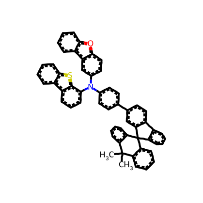 CC1(C)c2ccccc2C2(c3ccccc3-c3ccc(-c4ccc(N(c5ccc6oc7ccccc7c6c5)c5cccc6c5sc5ccccc56)cc4)cc32)c2ccccc21